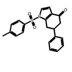 Cc1ccc(S(=O)(=O)n2ccc3c2CC(c2ccccc2)CC3=O)cc1